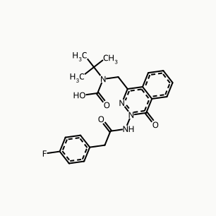 CC(C)(C)N(Cc1nn(NC(=O)Cc2ccc(F)cc2)c(=O)c2ccccc12)C(=O)O